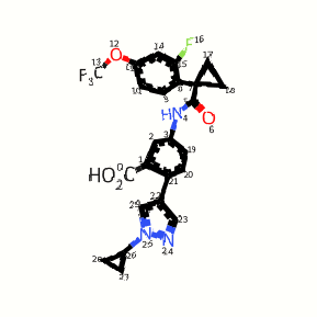 O=C(O)c1cc(NC(=O)C2(c3ccc(OC(F)(F)F)cc3F)CC2)ccc1-c1cnn(C2CC2)c1